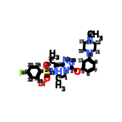 CCn1c(Oc2cccc(N3CCN(C)CC3)c2)nnc1[C@@H](C)NS(=O)(=O)c1ccc(F)cc1Br